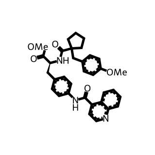 COC(=O)[C@H](Cc1ccc(NC(=O)c2ccnc3ccccc23)cc1)NC(=O)C1(Cc2ccc(OC)cc2)CCCC1